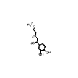 COCCNCC(O)c1ccc(O)c(O)c1